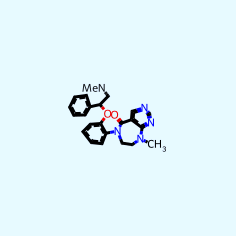 CNCC(Oc1ccccc1N1CCN(C)c2ncncc2C1=O)c1ccccc1